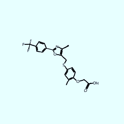 Cc1cc(SCc2oc(-c3ccc(C(F)(F)F)cc3)nc2C)ccc1OCC(=O)O